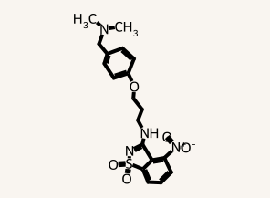 CN(C)Cc1ccc(OCCCNC2=NS(=O)(=O)c3cccc([N+](=O)[O-])c32)cc1